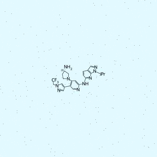 CC(C)n1ncc2ccc(Nc3cc(N4CC[C@H](N)C4)c(-c4cnn(CC(F)(F)F)c4)cn3)nc21